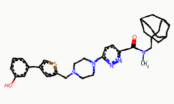 CN(CC12CC3CC(CC(C3)C1)C2)C(=O)c1ccc(N2CCN(Cc3cc(-c4cccc(O)c4)cs3)CC2)nn1